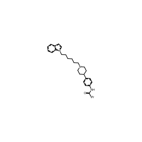 CC(C)C(=O)Nc1ccc(C2CCN(CCCCCCn3ccc4ccccc43)CC2)cc1